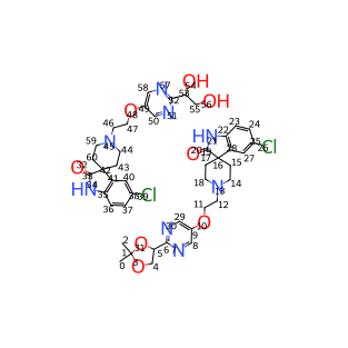 CC1(C)OCC(c2ncc(OCCN3CCC4(CC3)C(=O)Nc3ccc(Cl)cc34)cn2)O1.O=C1Nc2ccc(Cl)cc2C12CCN(CCOc1cnc(C(O)CO)nc1)CC2